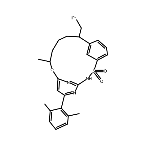 Cc1cccc(C)c1-c1cc2nc(n1)NS(=O)(=O)c1cccc(c1)C(CC(C)C)CCCC(C)O2